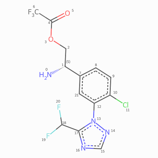 N[C@H](COC(=O)C(F)(F)F)c1ccc(Cl)c(-n2ncnc2C(F)F)c1